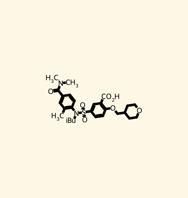 CCC(C)N(c1ccc(C(=O)N(C)C)cc1C)S(=O)(=O)c1ccc(OCC2CCOCC2)c(C(=O)O)c1